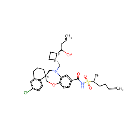 C=CCCC(CC)S(=O)(=O)NC(=O)c1ccc2c(c1)N(C[C@@H]1CC[C@H]1C(O)CC=C)C[C@@]1(CCCc3cc(Cl)ccc31)CO2